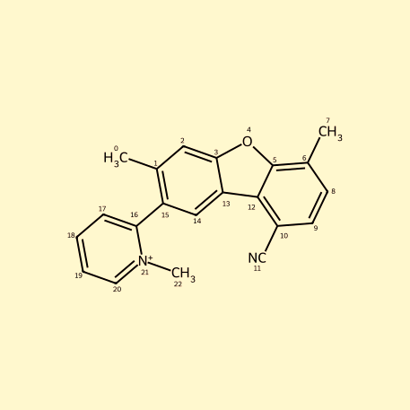 Cc1cc2oc3c(C)ccc(C#N)c3c2cc1-c1cccc[n+]1C